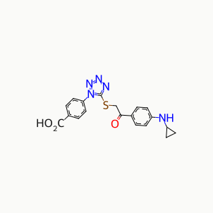 O=C(O)c1ccc(-n2nnnc2SCC(=O)c2ccc(NC3CC3)cc2)cc1